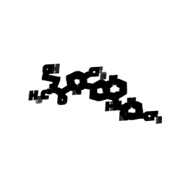 CN(CCO)C(=O)c1ccc(C(F)(F)F)c(-c2ccc3c(Nc4ncc(C(F)(F)F)cn4)ccnc3c2)n1